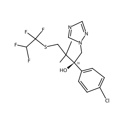 CC(C)(CSC(F)(F)C(F)F)[C@](O)(Cn1cncn1)c1ccc(Cl)cc1